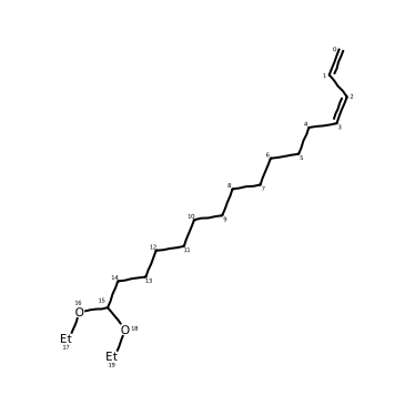 C=C/C=C\CCCCCCCCCCCC(OCC)OCC